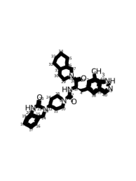 Cc1cc(C[C@@H](NC(=O)N2CCC(N3Cc4ccccc4NC3=O)CC2)C(=O)N2CCC3CCCCC3C2)cc2cn[nH]c12